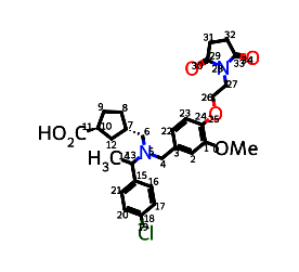 COc1cc(CN(C[C@H]2CC[C@H](C(=O)O)C2)C(C)c2ccc(Cl)cc2)ccc1OCCN1C(=O)CCC1=O